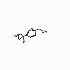 OCc1ccc(C2(F)CNC2)cn1